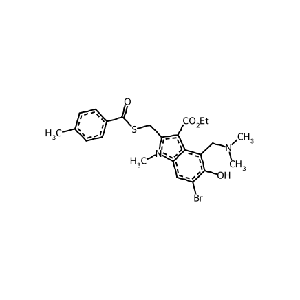 CCOC(=O)c1c(CSC(=O)c2ccc(C)cc2)n(C)c2cc(Br)c(O)c(CN(C)C)c12